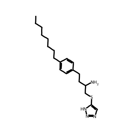 CCCCCCCCc1ccc(CCC(N)CSc2cnn[nH]2)cc1